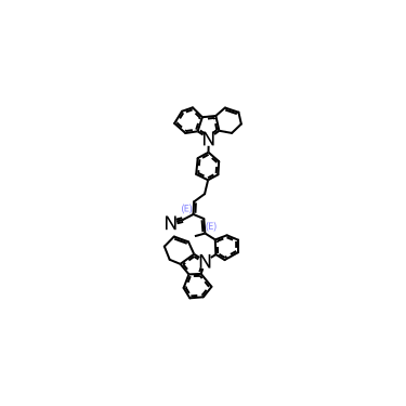 C/C(=C\C(C#N)=C/Cc1ccc(-n2c3c(c4ccccc42)C=CCC3)cc1)c1ccccc1-n1c2c(c3ccccc31)CCC=C2